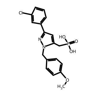 COc1ccc(Cn2nc(-c3cccc(Cl)c3)cc2CP(=O)(O)O)cc1